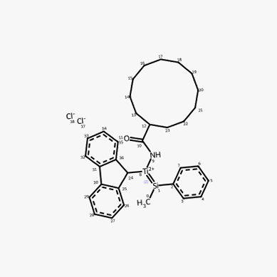 C/[Si](c1ccccc1)=[Ti+2](/[NH]C(=O)C1CCCCCCCCCCC1)[CH]1c2ccccc2-c2ccccc21.[Cl-].[Cl-]